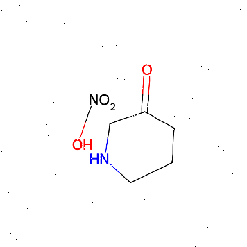 O=C1CCCNC1.O=[N+]([O-])O